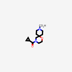 O=C(O)N1CCC2(CC1)CN(C(=O)C1CC1)CCO2